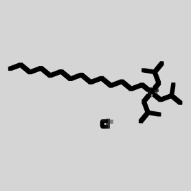 CCCCCCCCCCCCCC[P+](CC(C)C)(CC(C)C)CC(C)C.[Cl-]